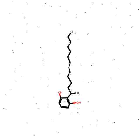 CCCCCCCCCCCCC(C)c1c(O)cccc1O